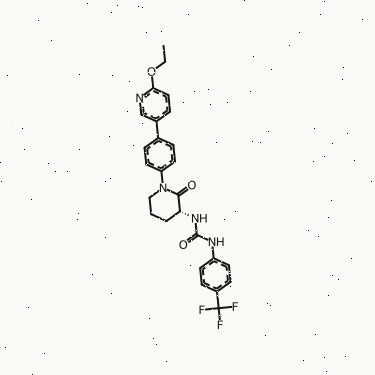 CCOc1ccc(-c2ccc(N3CCC[C@@H](NC(=O)Nc4ccc(C(F)(F)F)cc4)C3=O)cc2)cn1